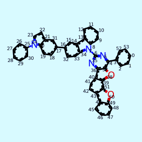 c1ccc(-c2nc(-n3c4ccccc4c4cc(-c5ccc6c(ccn6-c6ccccc6)c5)ccc43)nc3c2oc2c3ccc3c4ccccc4oc32)cc1